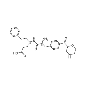 N[C@@H](Cc1ccc(C(=O)C2CNCCO2)cc1)C(=O)N[C@H](CCC(=O)O)CCc1ccccc1